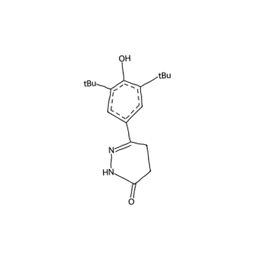 CC(C)(C)c1cc(C2=NNC(=O)CC2)cc(C(C)(C)C)c1O